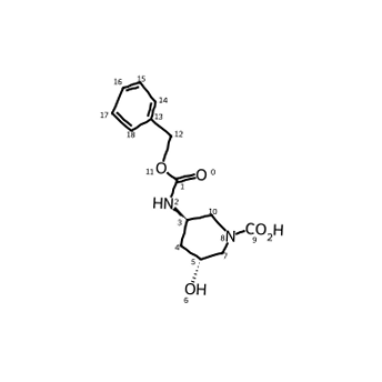 O=C(N[C@@H]1C[C@@H](O)CN(C(=O)O)C1)OCc1ccccc1